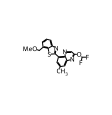 COCc1cccc2nc(-c3cc(C)cc4nc(OC(F)F)cnc34)sc12